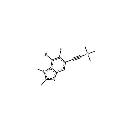 Cc1nc2cc(C#C[Si](C)(C)C)c(F)c(F)c2n1C